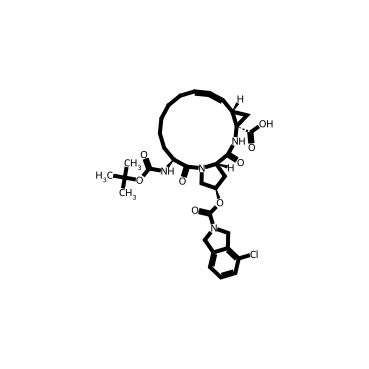 CC(C)(C)OC(=O)N[C@H]1CCCCCC=C=C[C@@H]2C[C@@]2(C(=O)O)NC(=O)[C@@H]2C[C@@H](OC(=O)N3Cc4cccc(Cl)c4C3)CN2C1=O